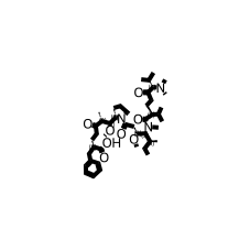 CC[C@H](C)[C@@H]([C@@H](CC(=O)N1CCC[C@H]1[C@H](OC)[C@@H](C)C(=O)CC[C@@H](Cc1ccccc1)C(=O)O)OC)N(C)C(=O)[C@@H](CCC(=O)[C@H](C(C)C)N(C)C)C(C)C